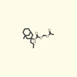 CCCC1(NC(=O)OCOC(C)=O)CC2CCCC(C)(C2)C1